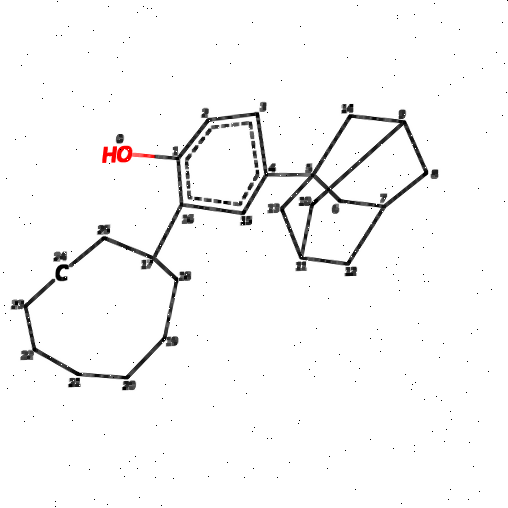 Oc1ccc(C23CC4CC(CC(C4)C2)C3)cc1C1CCCCCCCC1